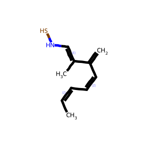 C=C(/C=C\C=C/C)/C(C)=C/NS